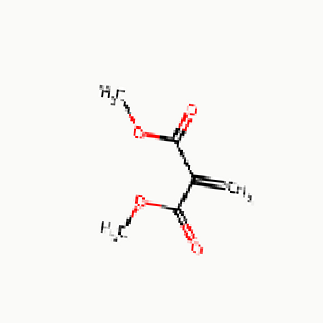 C=C(C(=O)OC)C(=O)OC